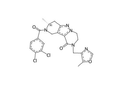 Cc1ocnc1CN1CCn2nc3c(c2C1=O)CN(C(=O)c1ccc(Cl)c(Cl)c1)[C@H](C)C3